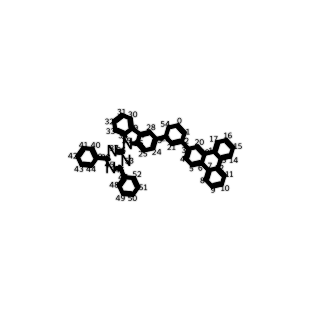 C1=CC(c2ccc3c4ccccc4c4ccccc4c3c2)=CC(c2ccc3c(c2)c2ccccc2n3-c2nc(-c3ccccc3)nc(-c3ccccc3)n2)C1